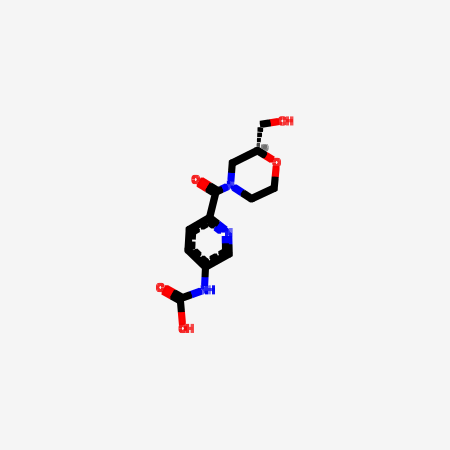 O=C(O)Nc1ccc(C(=O)N2CCO[C@@H](CO)C2)nc1